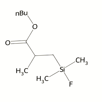 CCCCOC(=O)C(C)C[Si](C)(C)F